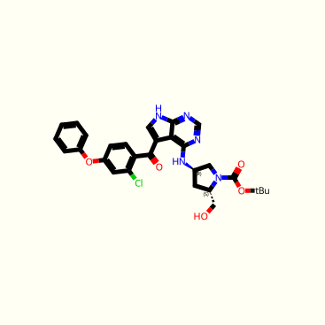 CC(C)(C)OC(=O)N1C[C@H](Nc2ncnc3[nH]cc(C(=O)c4ccc(Oc5ccccc5)cc4Cl)c23)C[C@H]1CO